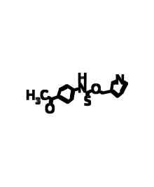 CC(=O)c1ccc(NC(=S)OCc2cccnc2)cc1